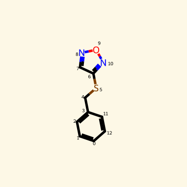 c1ccc(CSc2cnon2)cc1